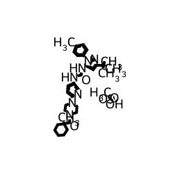 CS(=O)(=O)O.Cc1ccc(-n2nc(C(C)(C)C)cc2NC(=O)Nc2ccc(N3CCN(C(=O)C4(C)CCCCC4)CC3)nc2)cc1